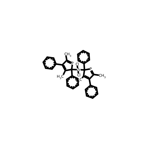 CC1=P[C](c2ccccc2)([Zr]([Cl])([Cl])[C]2(c3ccccc3)P=C(C)C(c3ccccc3)=C2C)C(C)=C1c1ccccc1